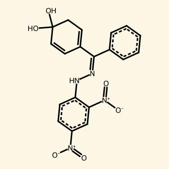 O=[N+]([O-])c1ccc(NN=C(C2=CCC(O)(O)C=C2)c2ccccc2)c([N+](=O)[O-])c1